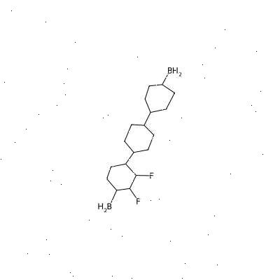 BC1CCC(C2CCC(C3CCC(B)C(F)C3F)CC2)CC1